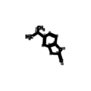 CC(C)c1ccc2c(c1)CC(=O)O2